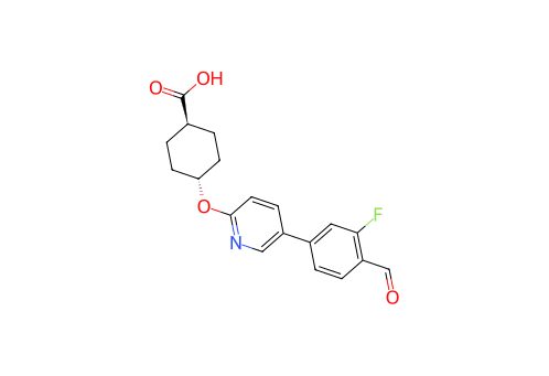 O=Cc1ccc(-c2ccc(O[C@H]3CC[C@H](C(=O)O)CC3)nc2)cc1F